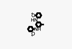 COc1ccccc1Nc1cc(C)cc(Nc2ccccc2OC)c1